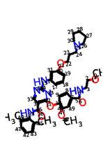 COCCNC(=O)c1ccc(Oc2nc(Nc3cccc(OCCCN4CCCCC4)c3)ncc2C(=O)Nc2c(C)cccc2C)c(OC)c1